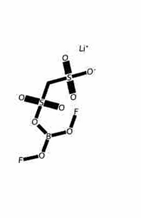 O=S(=O)([O-])CS(=O)(=O)OB(OF)OF.[Li+]